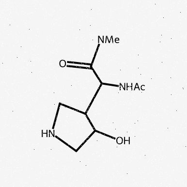 CNC(=O)C(NC(C)=O)C1CNCC1O